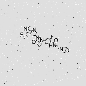 N#Cc1ncc(N2CN(c3ccc(C(=O)NCCN4CCOCC4)c(F)c3)C3(CCC3)C2=O)cc1C(F)(F)F